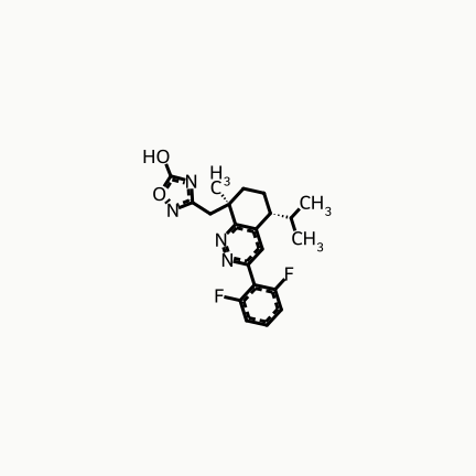 CC(C)[C@H]1CC[C@](C)(Cc2noc(O)n2)c2nnc(-c3c(F)cccc3F)cc21